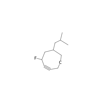 CC(C)CC1CCCC#CC(F)C1